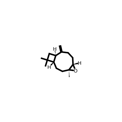 C=C1CC[C@@H]2O[C@@]2(C)CC[C@H]2[C@H]1CC2(C)C